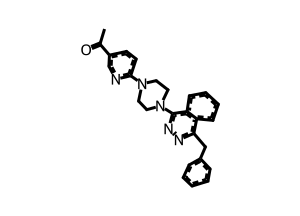 CC(=O)c1ccc(N2CCN(c3nnc(Cc4ccccc4)c4ccccc34)CC2)nc1